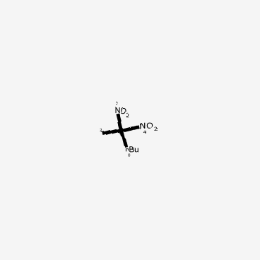 CCCCC(C)([N+](=O)[O-])[N+](=O)[O-]